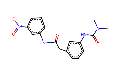 CN(C)C(=O)Nc1cccc(CC(=O)Nc2cccc([N+](=O)[O-])c2)c1